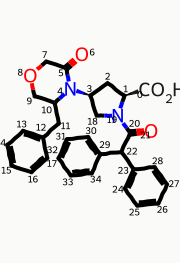 O=C(O)[C@@H]1C[C@H](N2C(=O)COCC2Cc2ccccc2)CN1C(=O)C(c1ccccc1)c1ccccc1